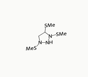 CSC1CN(SC)NN1SC